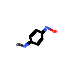 O=NN=C1C=CC(=NO)C=C1